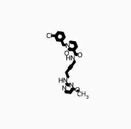 COc1ccnc(NCCC#CCNC(=O)c2cccn(Cc3cccc(Cl)c3)c2=O)n1